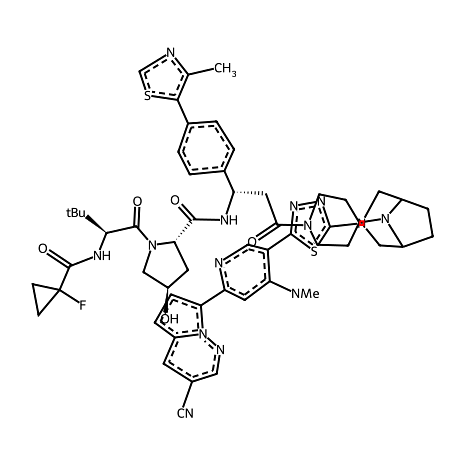 CNc1cc(-c2ccc3cc(C#N)cnn23)ncc1-c1nnc(N2CC3CCC(C2)N3C2CCN(C(=O)C[C@H](NC(=O)[C@@H]3C[C@@H](O)CN3C(=O)[C@@H](NC(=O)C3(F)CC3)C(C)(C)C)c3ccc(-c4scnc4C)cc3)CC2)s1